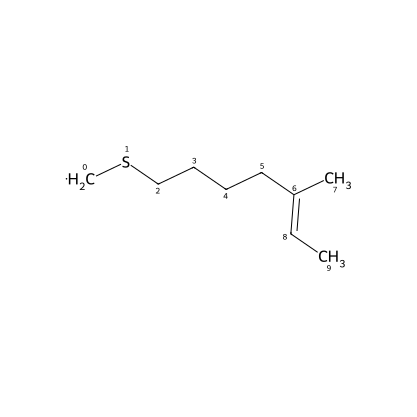 [CH2]SCCCCC(C)=CC